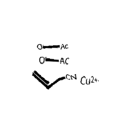 C=CC#N.CC(=O)[O-].CC(=O)[O-].[Cu+2]